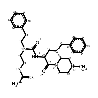 CC(=O)SCCN(CCc1ccccc1)C(=O)NC(CSCc1ccccc1)C(=O)N1CCN(C)CC1